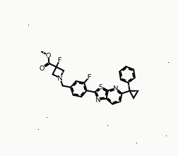 COC(=O)C1(F)CN(Cc2ccc(-c3nc4ccc(C5(c6ccccc6)CC5)nc4s3)c(F)c2)C1